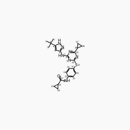 CC(C)(C)c1cc(Nc2nc(Sc3ccc(NC(=O)C4CC4)cc3)nc(C3CC3)n2)n[nH]1